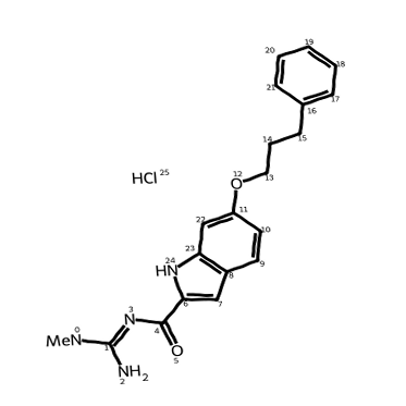 CNC(N)=NC(=O)c1cc2ccc(OCCCc3ccccc3)cc2[nH]1.Cl